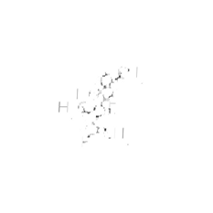 C=Cc1cc(F)ccc1-c1cc(F)c(-c2ccc3c(C=C)cccc3c2O)cc1C=C